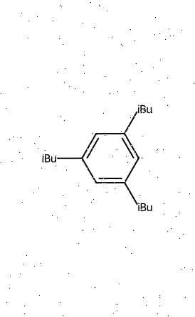 CCC(C)c1[c]c(C(C)CC)cc(C(C)CC)[c]1